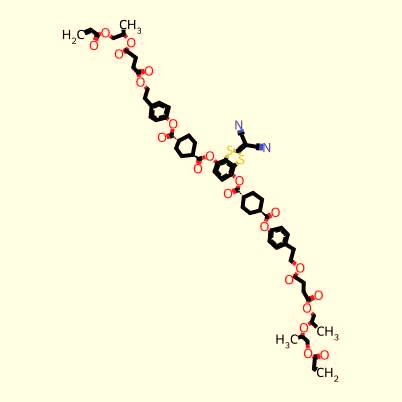 C=CC(=O)OCC(C)OC(=O)CCC(=O)OCCc1ccc(OC(=O)[C@H]2CC[C@H](C(=O)Oc3ccc(OC(=O)[C@H]4CC[C@H](C(=O)Oc5ccc(CCOC(=O)CCC(=O)OCC(C)OC(C)COC(=O)C=C)cc5)CC4)c4c3SC(=C(C#N)C#N)S4)CC2)cc1